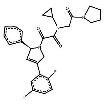 O=C(CN(C(=O)C(=O)N1CC(c2cc(F)ccc2F)=C[C@H]1c1ccccc1)C1CC1)N1CCCC1